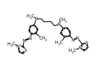 Cc1cc(N(C)CCCCN(C)c2ccc(N=Nc3scc[n+]3C)c(C)c2)ccc1N=Nc1scc[n+]1C